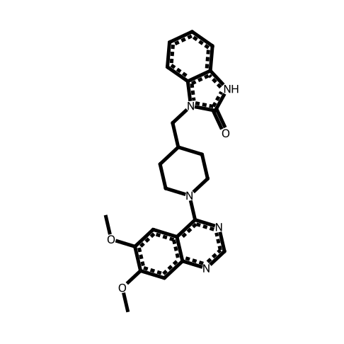 COc1cc2ncnc(N3CCC(Cn4c(=O)[nH]c5ccccc54)CC3)c2cc1OC